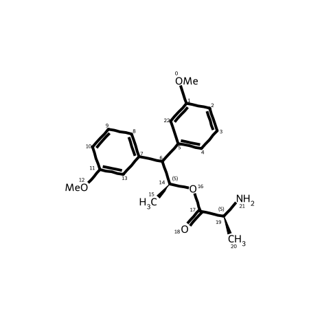 COc1cccc(C(c2cccc(OC)c2)[C@H](C)OC(=O)[C@H](C)N)c1